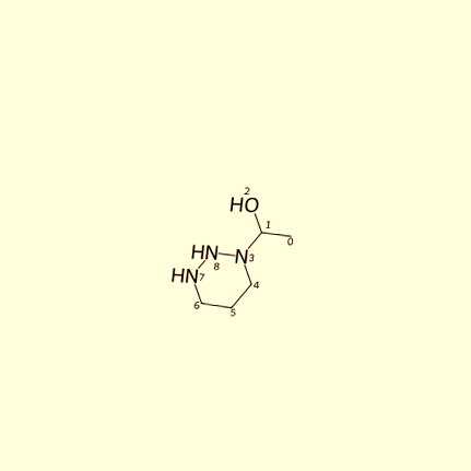 CC(O)N1CCCNN1